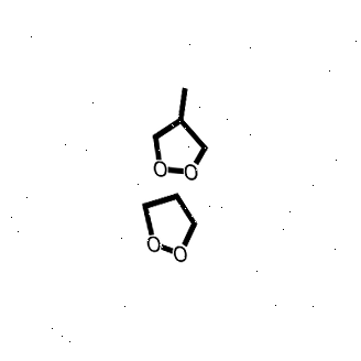 C1COOC1.CC1COOC1